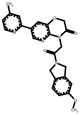 COc1ccc2c(c1)CN(C(=O)CN1C(=O)COc3cc(-c4cc(C)ccn4)cnc31)C2